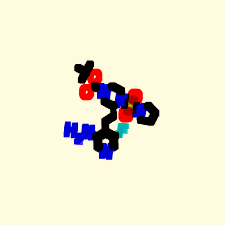 CC(C)(C)OC(=O)N1CCN(S(=O)(=O)N2CCCC2)[C@@H](CCc2c(N)cncc2F)C1